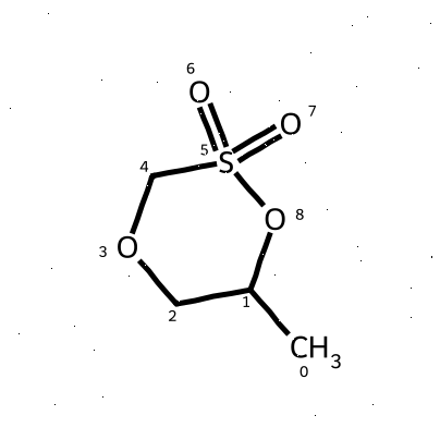 CC1COCS(=O)(=O)O1